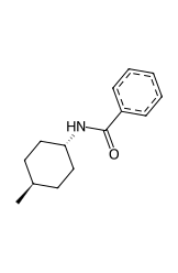 C[C@H]1CC[C@H](NC(=O)c2ccccc2)CC1